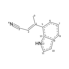 CC(=CC#N)c1cccc2cc[nH]c12